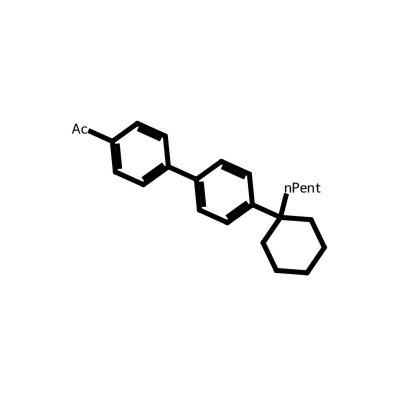 CCCCCC1(c2ccc(-c3ccc(C(C)=O)cc3)cc2)CCCCC1